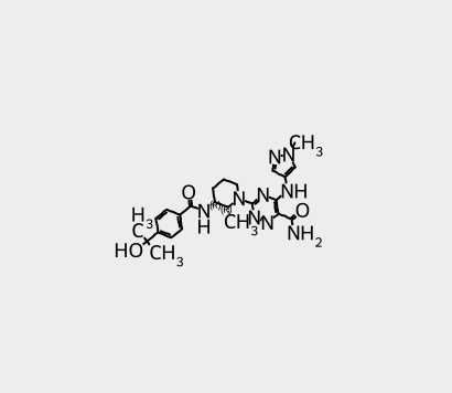 C[C@@H]1[C@H](NC(=O)c2ccc(C(C)(C)O)cc2)CCCN1c1nnc(C(N)=O)c(Nc2cnn(C)c2)n1